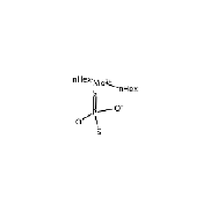 CCCCC[CH2][Mo+3][CH2]CCCCC.[O-]P([O-])(=S)[S-]